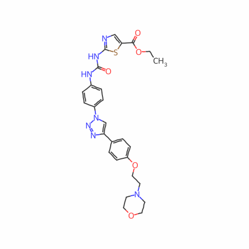 CCOC(=O)c1cnc(NC(=O)Nc2ccc(-n3cc(-c4ccc(OCCN5CCOCC5)cc4)nn3)cc2)s1